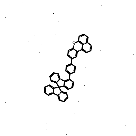 c1ccc2c(c1)-c1ccccc1C21c2ccccc2-c2c(-c3ccc(-c4ccc5c(c4)-c4cccc6cccc(c46)S5)cc3)cccc21